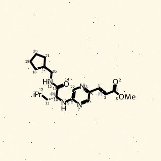 COC(=O)/C=C/c1cnc(N[C@H](CC(C)C)C(=O)NCC2CCCC2)cn1